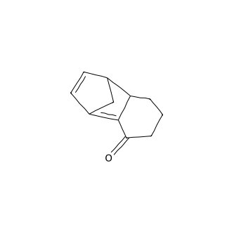 O=C1CCCC2C1=C1C=CC2C1